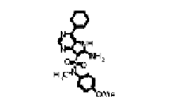 COc1ccc(N(C)S(=O)(=O)c2c(N)[nH]c3c(C4=CCCCC4)ncnc23)cc1